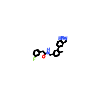 Cc1ccc(CNC(=O)Cc2cccc(F)c2)cc1-c1ccc2[nH]ncc2c1